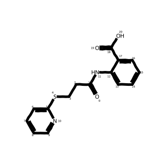 O=C(CCSc1ccccn1)Nc1ccccc1C(=O)O